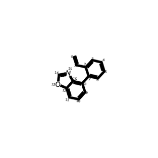 [CH]=Cc1ccccc1-c1cccc2ocnc12